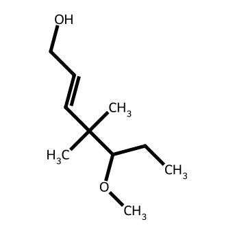 CCC(OC)C(C)(C)/C=C/CO